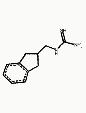 N=C(N)NCC1Cc2ccccc2C1